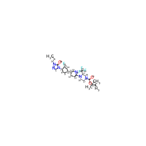 CCCn1ncn(-c2ccc(-c3ccc(N4CCN(C(=O)OC(C)(C)C)CC4C(F)(F)F)nc3)cc2F)c1=O